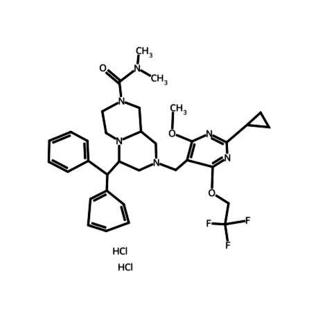 COc1nc(C2CC2)nc(OCC(F)(F)F)c1CN1CC2CN(C(=O)N(C)C)CCN2C(C(c2ccccc2)c2ccccc2)C1.Cl.Cl